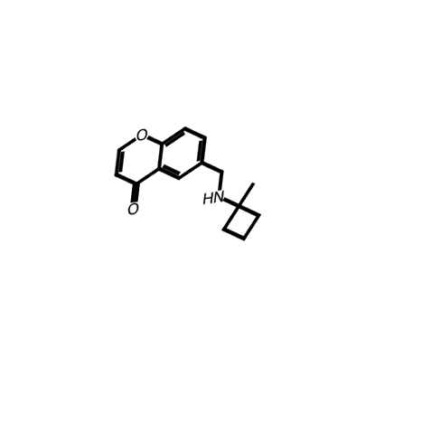 CC1(NCc2ccc3occc(=O)c3c2)CCC1